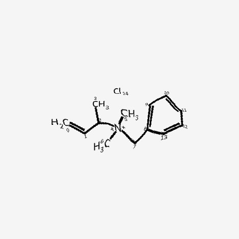 C=CC(C)[N+](C)(C)Cc1ccccc1.[Cl-]